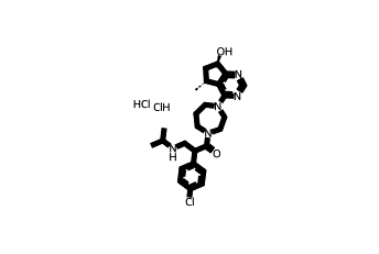 CC(C)NCC(C(=O)N1CCCN(c2ncnc3c2[C@H](C)C[C@H]3O)CC1)c1ccc(Cl)cc1.Cl.Cl